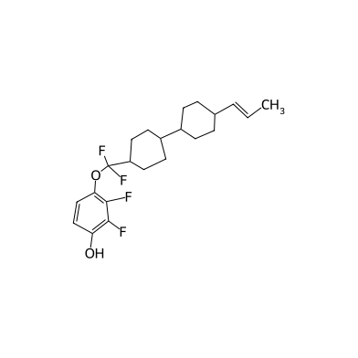 CC=CC1CCC(C2CCC(C(F)(F)Oc3ccc(O)c(F)c3F)CC2)CC1